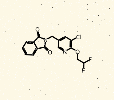 O=C1c2ccccc2C(=O)N1Cc1cnc(OCC(F)F)c(Cl)c1